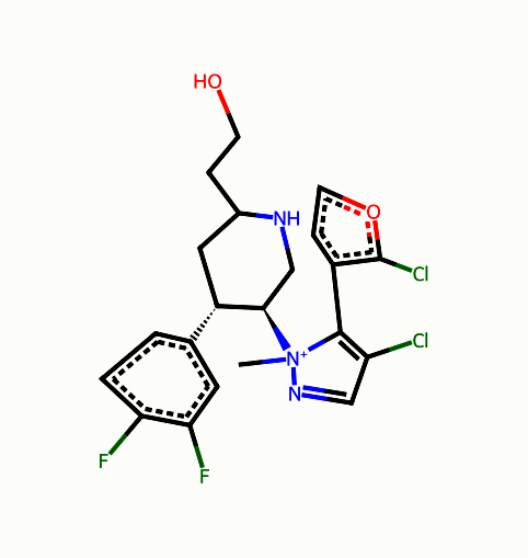 C[N+]1([C@@H]2CNC(CCO)C[C@H]2c2ccc(F)c(F)c2)N=CC(Cl)=C1c1ccoc1Cl